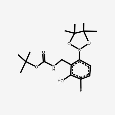 CC(C)(C)OC(=O)NCc1c(B2OC(C)(C)C(C)(C)O2)ccc(F)c1O